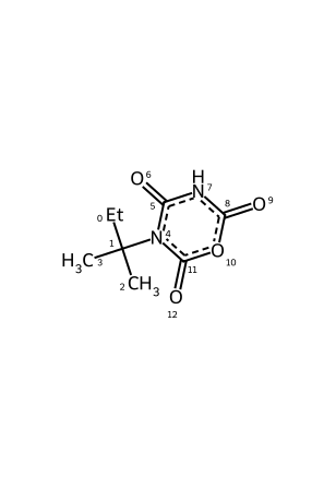 CCC(C)(C)n1c(=O)[nH]c(=O)oc1=O